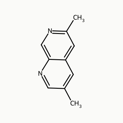 Cc1cnc2cnc(C)cc2c1